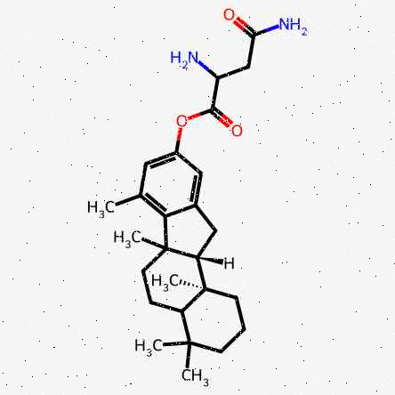 Cc1cc(OC(=O)C(N)CC(N)=O)cc2c1C1(C)CCC3C(C)(C)CCC[C@]3(C)[C@H]1C2